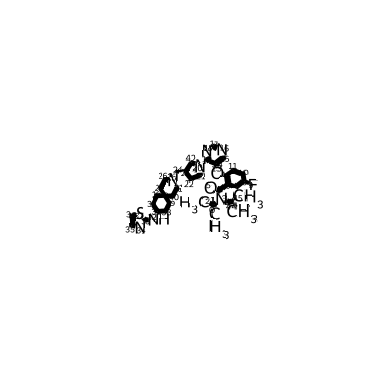 CC(C)N(C(=O)c1cc(F)ccc1Oc1cncnc1N1CC[C@@H](CN2CCC3(CCC(Nc4nccs4)CC3)CC2)C1)C(C)C